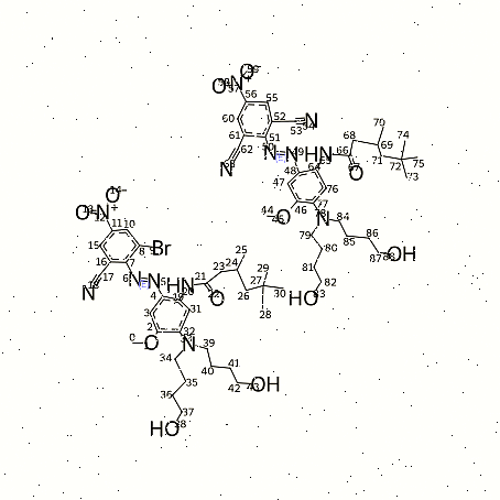 COc1cc(/N=N/c2c(Br)cc([N+](=O)[O-])cc2C#N)c(NC(=O)CC(C)CC(C)(C)C)cc1N(CCCCO)CCCCO.COc1cc(/N=N/c2c(C#N)cc([N+](=O)[O-])cc2C#N)c(NC(=O)CC(C)CC(C)(C)C)cc1N(CCCCO)CCCCO